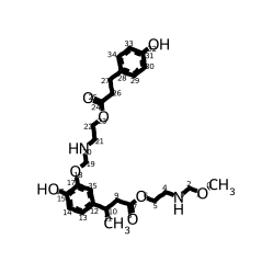 COCNCCOC(=O)CC(C)c1ccc(O)c(OCNCCOC(=O)CCc2ccc(O)cc2)c1